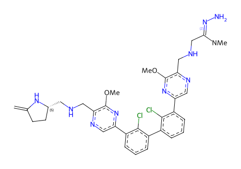 C=C1CC[C@@H](CNCc2ncc(-c3cccc(-c4cccc(-c5cnc(CNC/C(=N/N)NC)c(OC)n5)c4Cl)c3Cl)nc2OC)N1